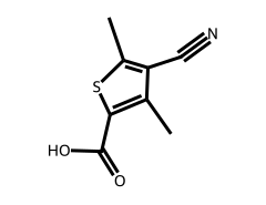 Cc1sc(C(=O)O)c(C)c1C#N